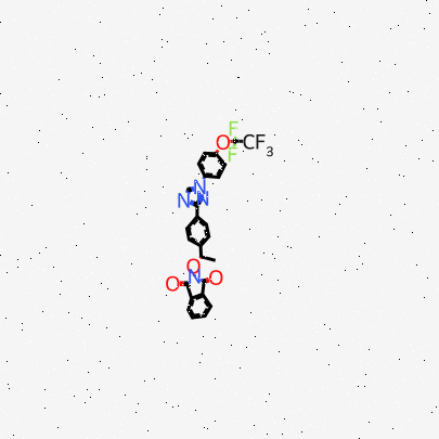 CC(ON1C(=O)c2ccccc2C1=O)c1ccc(-c2ncn(-c3ccc(OC(F)(F)C(F)(F)F)cc3)n2)cc1